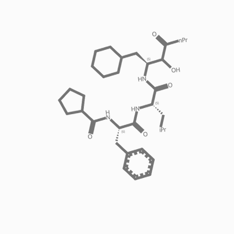 CCCC(=O)C(O)[C@H](CC1CCCCC1)NC(=O)[C@H](CC(C)C)NC(=O)[C@H](Cc1ccccc1)NC(=O)C1CCCC1